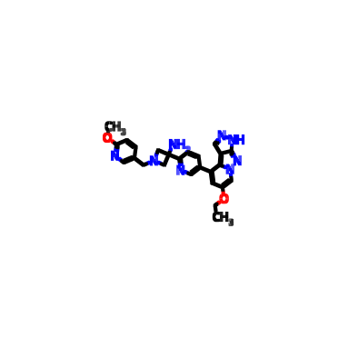 CCOc1cc(-c2ccc(C3(N)CN(Cc4ccc(OC)nc4)C3)nc2)c2c3cn[nH]c3nn2c1